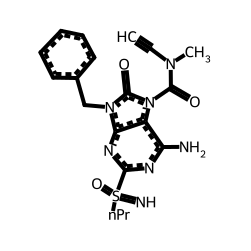 C#CN(C)C(=O)n1c(=O)n(Cc2ccccc2)c2nc(S(=N)(=O)CCC)nc(N)c21